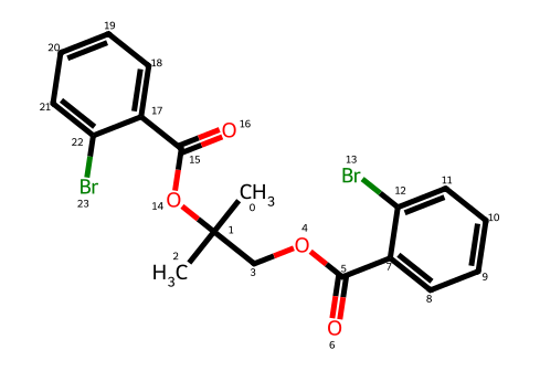 CC(C)(COC(=O)c1ccccc1Br)OC(=O)c1ccccc1Br